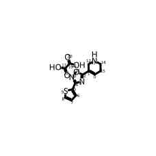 C1=C(c2nc(-c3cccs3)no2)CNCC1.O=C(O)C(=O)O